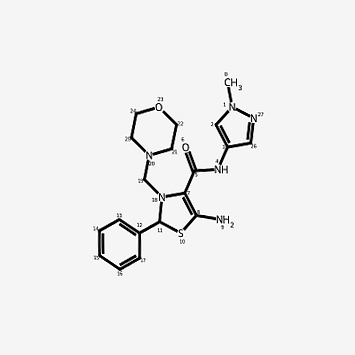 Cn1cc(NC(=O)C2=C(N)SC(c3ccccc3)N2CN2CCOCC2)cn1